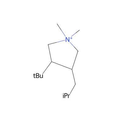 CC(C)CC1C[N+](C)(C)CC1C(C)(C)C